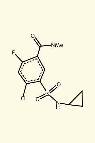 CNC(=O)c1cc(S(=O)(=O)NC2CC2)c(Cl)cc1F